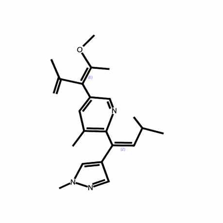 C=C(C)/C(=C(/C)OC)c1cnc(/C(=C\C(C)C)c2cnn(C)c2)c(C)c1